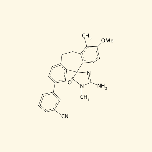 COc1ccc2c(c1C)CCc1ccc(-c3cccc(C#N)c3)cc1C21N=C(N)N(C)C1=O